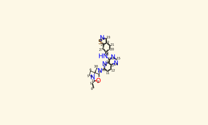 C=CC(=O)N1CCC12CN(c1ccc3ncnc(Nc4ccc5cnsc5c4)c3n1)C2